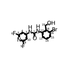 O=C(Nc1cc(F)nc(F)c1)Nc1cccc(Br)c1CO